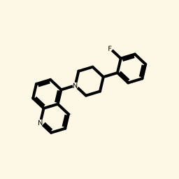 Fc1ccccc1C1CCN(c2cccc3ncc[c]c23)CC1